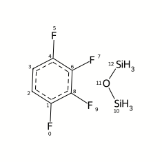 Fc1ccc(F)c(F)c1F.[SiH3]O[SiH3]